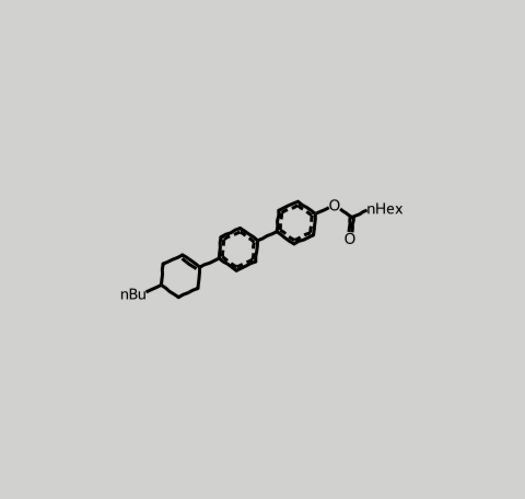 CCCCCCC(=O)Oc1ccc(-c2ccc(C3=CCC(CCCC)CC3)cc2)cc1